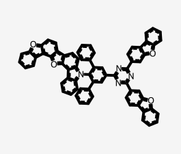 c1ccc(-c2cc(-c3nc(-c4ccc5c(c4)oc4ccccc45)nc(-c4ccc5c(c4)oc4ccccc45)n3)cc(-c3ccccc3)c2-n2c3ccccc3c3c4oc5c(ccc6oc7ccccc7c65)c4ccc32)cc1